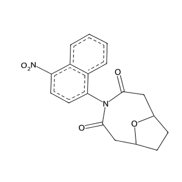 O=C1CC2CCC(CC(=O)N1c1ccc([N+](=O)[O-])c3ccccc13)O2